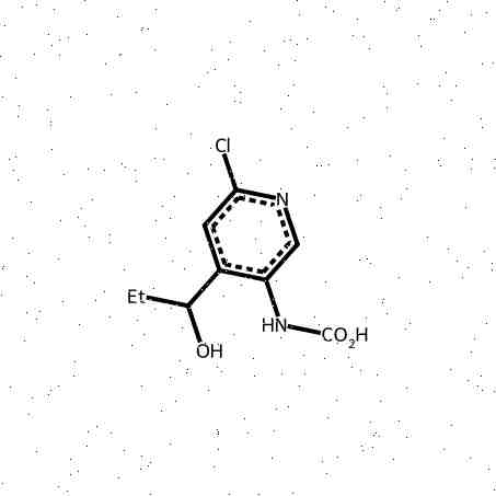 CCC(O)c1cc(Cl)ncc1NC(=O)O